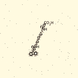 O=C(O)COCC(=O)NCCCOCCOCCOCCCNC(=O)OCC1c2ccccc2-c2ccccc21